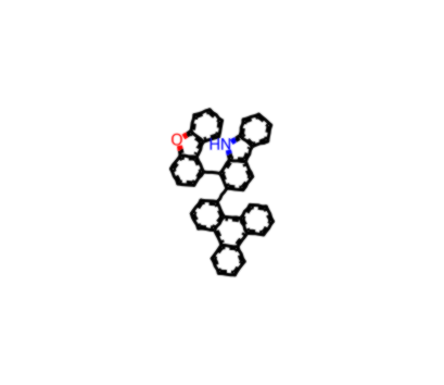 c1ccc2c(c1)[nH]c1c(-c3cccc4oc5ccccc5c34)c(-c3cccc4c5ccccc5c5ccccc5c34)ccc12